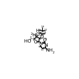 [2H][C@@]1(O)[C@@H](CO)O[C@@H](n2ccc(N)nc2=O)[C@@H]1O[Si](C)(C)C(C)(C)C